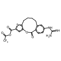 N=C(N)Nc1ccc2c(c1)CCCCc1sc(C(=O)OC(=O)C(F)(F)F)cc1OC2=O